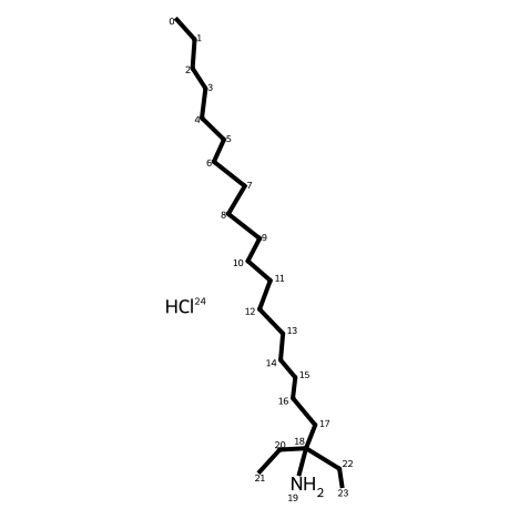 CCCCCCCCCCCCCCCCCCC(N)(CC)CC.Cl